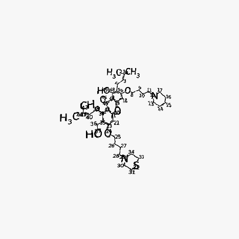 CC(C)=CCc1c(OCCCCN2CCCCC2)cc2oc3cc(OCCCCN4CCSCC4)c(CO)c(CC=C(C)C)c3c(=O)c2c1O